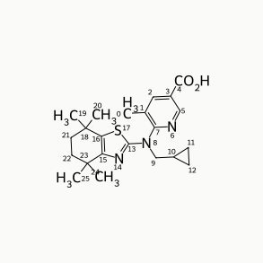 Cc1cc(C(=O)O)cnc1N(CC1CC1)c1nc2c(s1)C(C)(C)CCC2(C)C